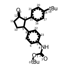 CC(C)(C)OC(=O)Nc1ccc(C2CCC(=O)C2c2ccc(C(C)(C)C)cc2)cc1